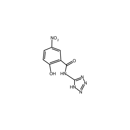 O=C(Nc1nnn[nH]1)c1cc([N+](=O)[O-])ccc1O